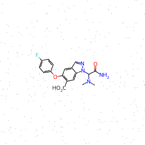 CN(C)C(C(N)=O)n1ncc2cc(Oc3ccc(F)cc3)c(C(=O)O)cc21